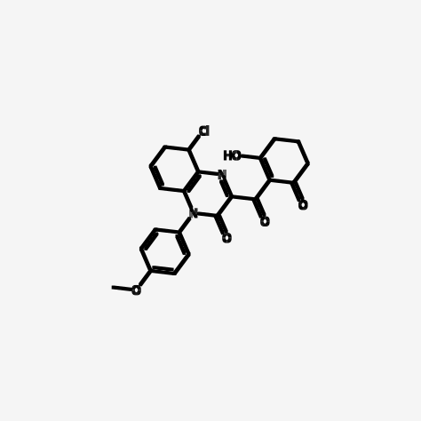 COc1ccc(-n2c3c(nc(C(=O)C4=C(O)CCCC4=O)c2=O)C(Cl)CC=C3)cc1